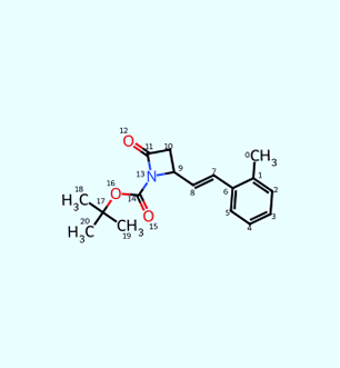 Cc1ccccc1/C=C/C1CC(=O)N1C(=O)OC(C)(C)C